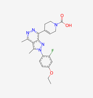 CCOc1ccc(-n2nc3c(C4=CCN(C(=O)O)CC4)nnc(C)c3c2C)c(F)c1